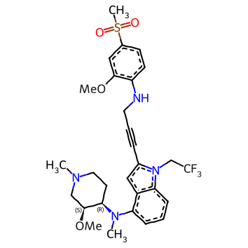 COc1cc(S(C)(=O)=O)ccc1NCC#Cc1cc2c(N(C)[C@@H]3CCN(C)C[C@@H]3OC)cccc2n1CC(F)(F)F